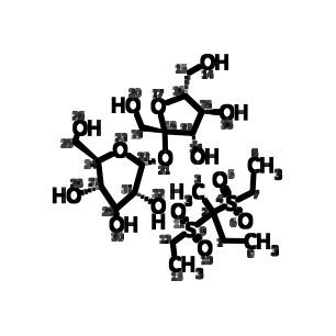 CCC(C)(S(=O)(=O)CC)S(=O)(=O)CC.OC[C@H]1O[C@@](CO)(O[C@H]2O[C@H](CO)[C@@H](O)[C@H](O)[C@H]2O)[C@@H](O)[C@@H]1O